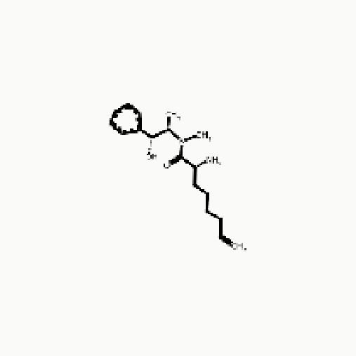 C=CCCCC[C@H](N)C(=O)N(C)[C@H](C)[C@H](O)c1ccccc1